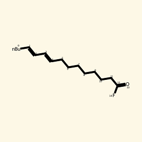 CCCCC=CC=CCCCCCCCC(=O)F